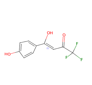 O=C(/C=C(\O)c1ccc(O)cc1)C(F)(F)F